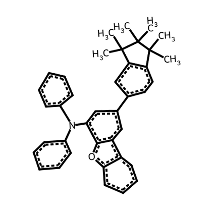 CC1(C)c2ccc(-c3cc(N(c4ccccc4)c4ccccc4)c4oc5ccccc5c4c3)cc2C(C)(C)C1(C)C